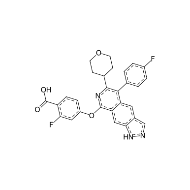 O=C(O)c1ccc(Oc2nc(C3CCOCC3)c(-c3ccc(F)cc3)c3cc4cn[nH]c4cc23)cc1F